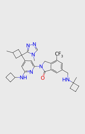 CC1CC(c2cc(NC3CCC3)nc(N3Cc4c(cc(CNC5(C)CCC5)cc4C(F)(F)F)C3=O)c2)(c2nncn2C)C1